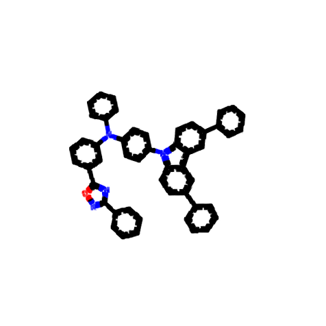 c1ccc(-c2ccc3c(c2)c2cc(-c4ccccc4)ccc2n3-c2ccc(N(c3ccccc3)c3cccc(-c4nc(-c5ccccc5)no4)c3)cc2)cc1